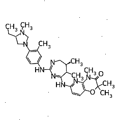 CCC1CN(c2ccc(NC3=NC[C@@H](C)C(C)C(Nc4ccc5c(n4)N(C)C(=O)C(C)(C)O5)=N3)cc2C)CN1C